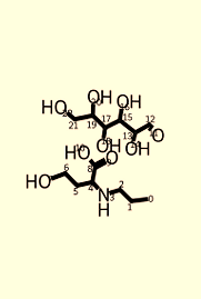 CCCNC(CCO)C(=O)O.O=CC(O)C(O)C(O)C(O)CO